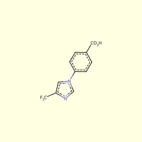 O=C(O)c1ccc(-n2cnc(C(F)(F)F)c2)cc1